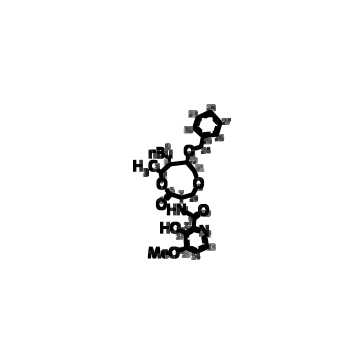 CCCC[C@H]1[C@H](C)OC(=O)[C@@H](NC(=O)c2nccc(OC)c2O)COC[C@@H]1OCc1ccccc1